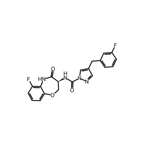 O=C1Nc2c(F)cccc2OC[C@@H]1NC(=O)n1cc(Cc2cccc(F)c2)cn1